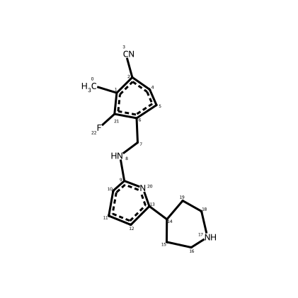 Cc1c(C#N)ccc(CNc2cccc(C3CCNCC3)n2)c1F